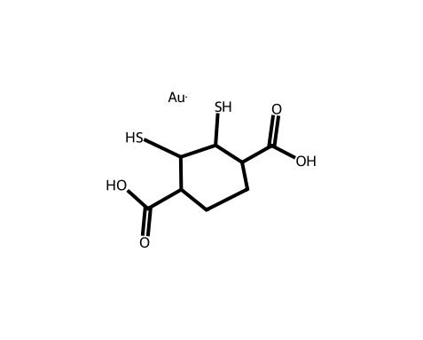 O=C(O)C1CCC(C(=O)O)C(S)C1S.[Au]